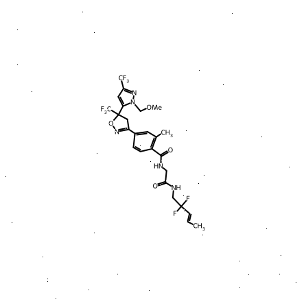 C/C=C/C(F)(F)CNC(=O)CNC(=O)c1ccc(C2=NOC(c3cc(C(F)(F)F)nn3COC)(C(F)(F)F)C2)cc1C